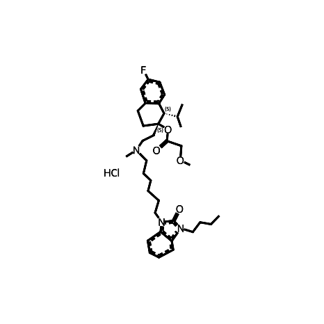 CCCCn1c(=O)n(CCCCCCN(C)CC[C@@]2(OC(=O)COC)CCc3cc(F)ccc3[C@@H]2C(C)C)c2ccccc21.Cl